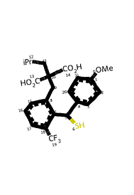 COc1ccc(C(S)c2c(CC(CC(C)C)(C(=O)O)C(=O)O)cccc2C(F)(F)F)cc1